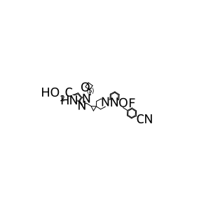 N#Cc1ccc(COc2cccc(N3CCC4(CC3)CC4c3nc4[nH]c(C(=O)O)cc4n3C[C@@H]3CCO3)n2)c(F)c1